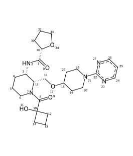 O=C(N[C@H]1CCCN(C(=O)C2(O)CCC2)[C@H]1COC1CCN(c2ncccn2)CC1)[C@@H]1CCCO1